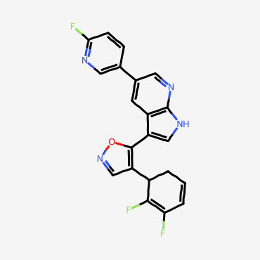 FC1=C(F)C(c2cnoc2-c2c[nH]c3ncc(-c4ccc(F)nc4)cc23)CC=C1